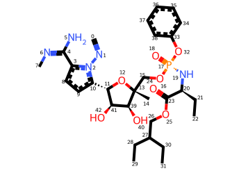 C=Nn1c(/C(N)=N\C)ccc1[C@@H]1O[C@](C)(CO[P@](=O)(N[C@@H](CC)C(=O)OCC(CC)CC)Oc2ccccc2)[C@@H](O)[C@H]1O